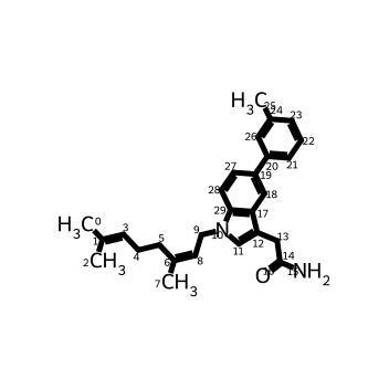 CC(C)=CCCC(C)=CCn1cc(CC(N)=O)c2cc(-c3cccc(C)c3)ccc21